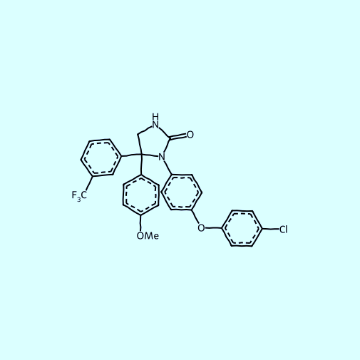 COc1ccc(C2(c3cccc(C(F)(F)F)c3)CNC(=O)N2c2ccc(Oc3ccc(Cl)cc3)cc2)cc1